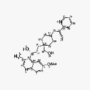 COc1ccc2ncc(C)c([C@H](O)CCC3(CO)CCN(CC(=S)c4ccccn4)CC3)c2c1